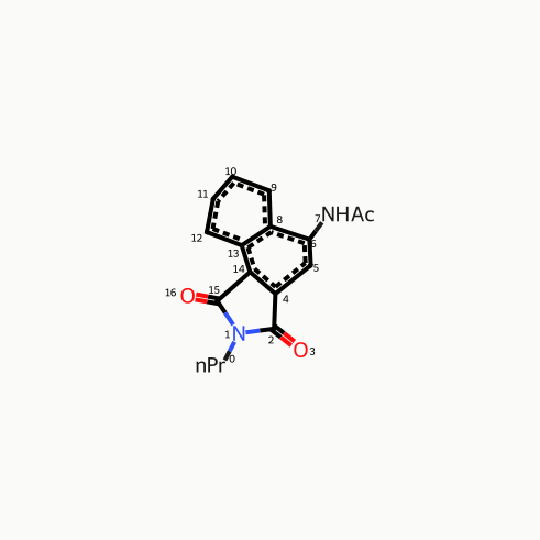 CCCN1C(=O)c2cc(NC(C)=O)c3ccccc3c2C1=O